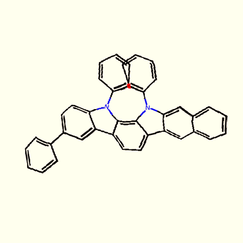 c1ccc(-c2ccc3c(c2)c2ccc4c5cc6ccccc6cc5n(-c5ccccc5)c4c2n3-c2ccccc2)cc1